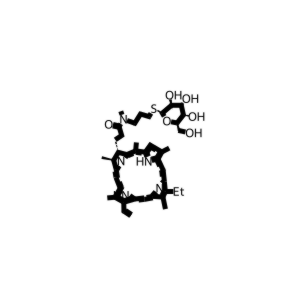 C=Cc1c(C)c2cc3nc(c(C)c4cc(C)c(cc5nc(cc1[nH]2)C(C)=C5CC)[nH]4)[C@@H](CCC(=O)N(C)CCCS[C@H]1O[C@H](CO)[C@@H](O)[C@H](O)[C@@H]1O)[C@@H]3C